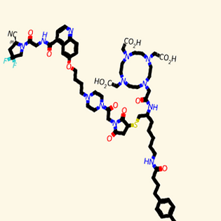 Cc1ccc(CCCC(=O)NCCCCCC(CSC2CC(=O)N(CC(=O)N3CCN(CCCCOc4ccc5nccc(C(=O)NCC(=O)N6CC(F)(F)C[C@@H]6C#N)c5c4)CC3)C2=O)NC(=O)CN2CCN(CC(=O)O)CCN(CC(=O)O)CCN(CC(=O)O)CC2)cc1